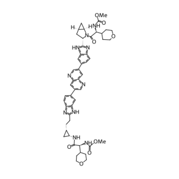 COC(=O)N[C@H](C(=O)N[C@@H]1C[C@@H]1CCc1nc2ccc(-c3cnc4cc(-c5ccc6nc([C@@H]7C[C@H]8C[C@H]8N7C(=O)[C@@H](NC(=O)OC)C7CCOCC7)[nH]c6c5)cnc4c3)cc2[nH]1)C1CCOCC1